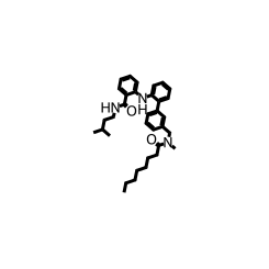 CCCCCCCC(=O)N(C)Cc1cccc(-c2ccccc2Nc2ccccc2C(=O)NCCC(C)C)c1